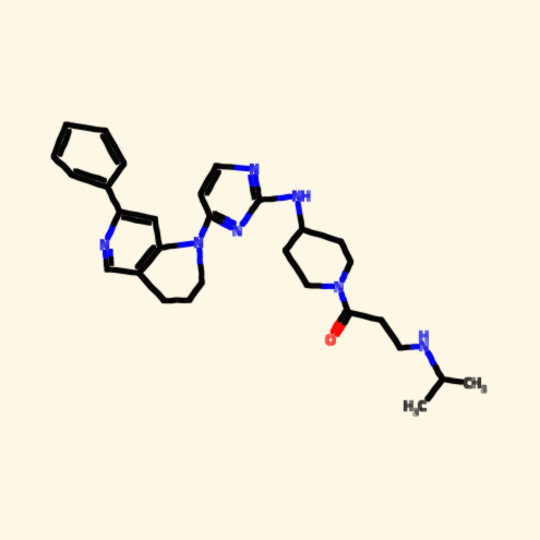 CC(C)NCCC(=O)N1CCC(Nc2nccc(N3CCCc4cnc(-c5ccccc5)cc43)n2)CC1